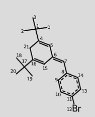 CC(C)(C)C1=CC(=Cc2ccc(Br)cc2)C=C(C(C)(C)C)C1